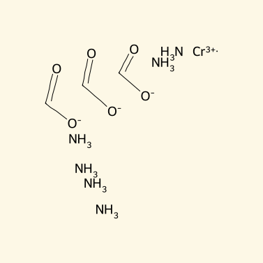 N.N.N.N.N.N.O=C[O-].O=C[O-].O=C[O-].[Cr+3]